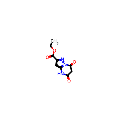 CCOC(=O)c1cc2n(n1)C(=O)CC(=O)N2